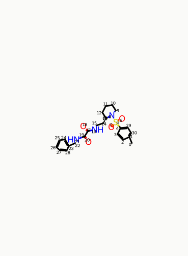 Cc1ccc(S(=O)(=O)N2CCCC[C@@H]2CCNC(=O)C(=O)NCc2ccccc2)cc1